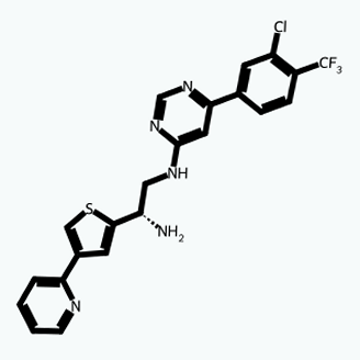 N[C@@H](CNc1cc(-c2ccc(C(F)(F)F)c(Cl)c2)ncn1)c1cc(-c2ccccn2)cs1